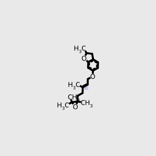 C/C(=C\COc1ccc2c(c1)OC(C)C2)CCC1(C)OC1(C)C